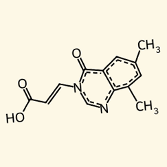 Cc1cc(C)c2ncn(/C=C/C(=O)O)c(=O)c2c1